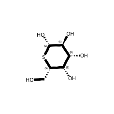 OC[C@@H]1S[C@H](O)[C@@H](O)[C@H](O)[C@@H]1O